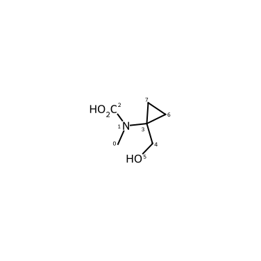 CN(C(=O)O)C1(CO)CC1